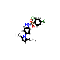 Cc1ccc(C)n1-c1ccc(NS(=O)(=O)c2ccc(Cl)cc2Cl)cc1